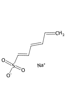 C=C/C=C/C=C/S(=O)(=O)[O-].[Na+]